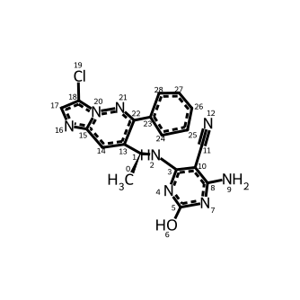 C[C@H](Nc1nc(O)nc(N)c1C#N)c1cc2ncc(Cl)n2nc1-c1ccccc1